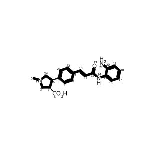 CN1C[C@@H](C(=O)O)[C@H](c2ccc(/C=C/C(=O)Nc3ccccc3N)cc2)C1